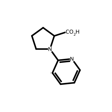 O=C(O)C1CCCN1c1[c]cccn1